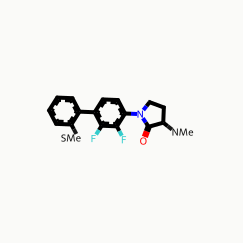 CNC1CCN(c2ccc(-c3ccccc3SC)c(F)c2F)C1=O